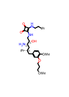 COCCCOc1cc(C[C@@H](C[C@H](N)[C@@H](O)CNc2c(NCCC(C)C)c(=O)c2=O)C(C)C)ccc1OC